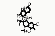 CC[C@@H]1C[C@@](O)(C(F)(F)F)[C@@H](Nc2cc(F)cc3[nH]c(=O)ccc23)c2cc(Cl)c(C)c(O)c21